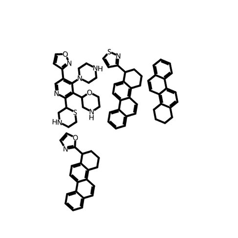 c1cc(-c2cnc(C3CNCCS3)c(C3CNCCO3)c2N2CCNCC2)no1.c1ccc2c(c1)ccc1c3c(ccc12)C(c1ccsn1)CCC3.c1ccc2c(c1)ccc1c3c(ccc12)C(c1ncco1)CCC3.c1ccc2c(c1)ccc1c3c(ccc12)CCCC3